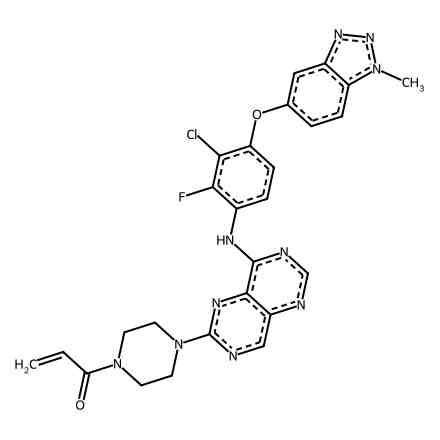 C=CC(=O)N1CCN(c2ncc3ncnc(Nc4ccc(Oc5ccc6c(c5)nnn6C)c(Cl)c4F)c3n2)CC1